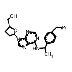 CC(C)Cc1ccc(C(C)Nc2ncnc3c2ncn3[C@H]2CC[C@@H](CO)O2)cc1